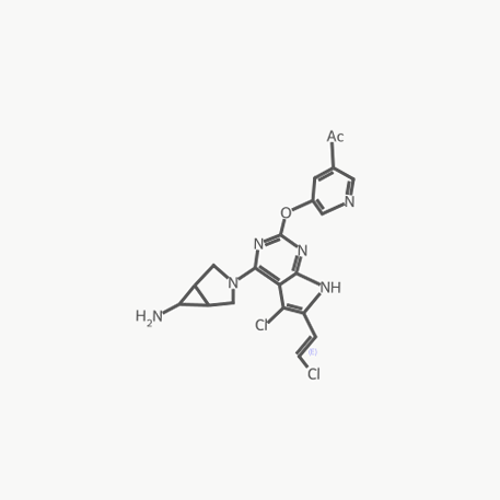 CC(=O)c1cncc(Oc2nc(N3CC4C(N)C4C3)c3c(Cl)c(/C=C/Cl)[nH]c3n2)c1